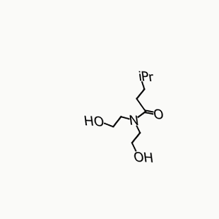 CC(C)CCC(=O)N(CCO)CCO